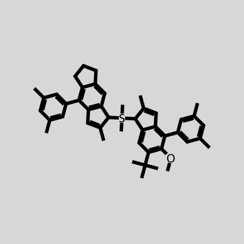 COc1c(C(C)(C)C)cc2c(c1-c1cc(C)cc(C)c1)C=C(C)C2S(C)(C)C1C(C)=Cc2c1cc1c(c2-c2cc(C)cc(C)c2)CCC1